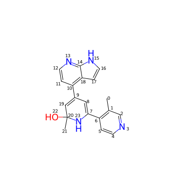 Cc1cnccc1C1=CC(c2ccnc3[nH]ccc23)=CC(C)(O)N1